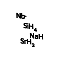 [NaH].[Nb].[SiH4].[SrH2]